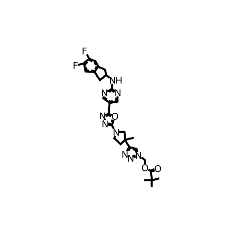 CC(C)(C)C(=O)OCn1cc(C2(C)CCN(c3nnc(-c4cnc(NC5Cc6cc(F)c(F)cc6C5)nc4)o3)C2)nn1